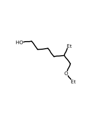 CCOCC(CC)CCCCO